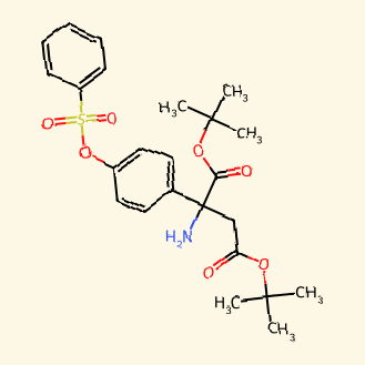 CC(C)(C)OC(=O)CC(N)(C(=O)OC(C)(C)C)c1ccc(OS(=O)(=O)c2ccccc2)cc1